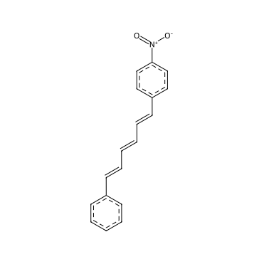 O=[N+]([O-])c1ccc(C=CC=CC=Cc2ccccc2)cc1